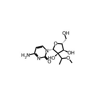 COC(C)[C@@]1(O)[C@H](O)[C@@H](CO)O[C@H]1n1ccc(N)nc1=O